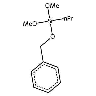 CCC[Si](OC)(OC)OCc1ccccc1